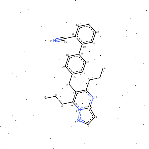 CCCc1nc2ccnn2c(CCC)c1Cc1ccc(-c2ccccc2C#N)cc1